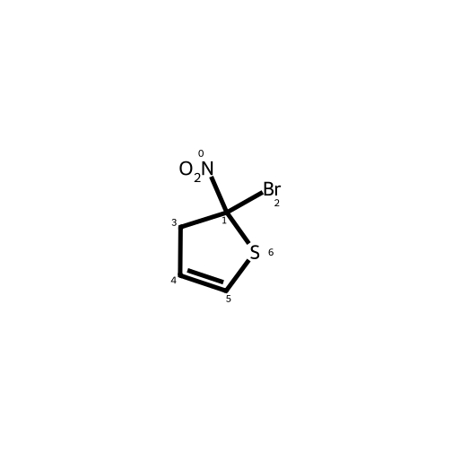 O=[N+]([O-])C1(Br)CC=CS1